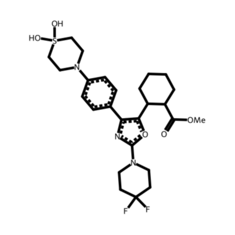 COC(=O)C1CCCCC1c1oc(N2CCC(F)(F)CC2)nc1-c1ccc(N2CCS(O)(O)CC2)cc1